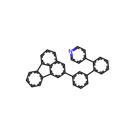 c1cc(-c2cc3c4c(cccc4c2)-c2ccccc2-3)cc(-c2ccccc2-c2ccncc2)c1